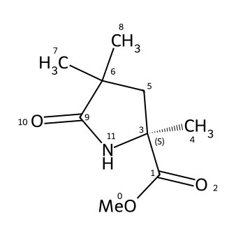 COC(=O)[C@]1(C)CC(C)(C)C(=O)N1